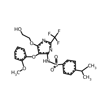 COc1ccccc1Oc1c(NS(=O)(=O)c2ccc(C(C)C)cc2)nc(C(F)(F)F)nc1OCCO